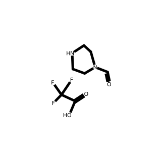 O=C(O)C(F)(F)F.O=CN1CCNCC1